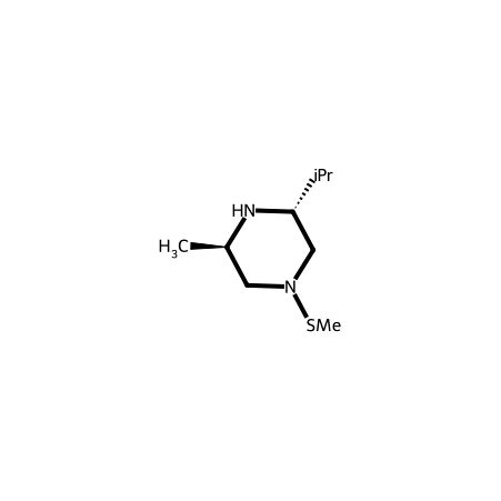 CSN1C[C@@H](C)N[C@H](C(C)C)C1